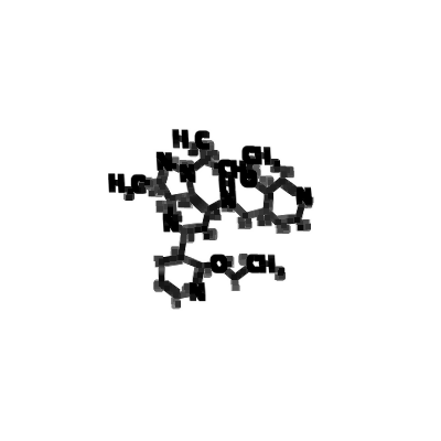 CCOc1ncccc1-c1cc(NCc2ccncc2OC)c2c(n1)c(C)nn2C(C)C